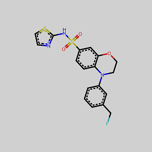 O=S(=O)(Nc1nccs1)c1ccc2c(c1)OCCN2c1cccc(CF)c1